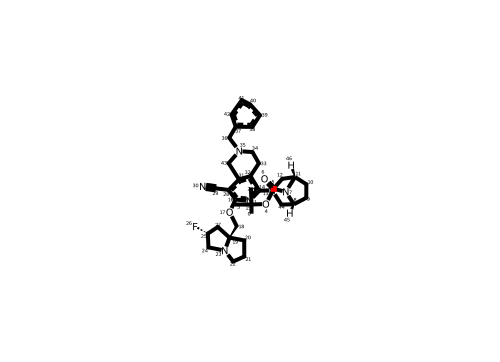 CC(C)(C)OC(=O)N1[C@@H]2CC[C@H]1CN(c1nc(OC[C@@]34CCCN3C[C@H](F)C4)c(C#N)c3c1CCN(Cc1ccccc1)C3)C2